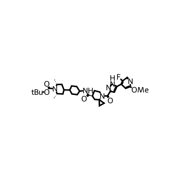 COc1cc(-c2cc(C(=O)N3CC[C@H](C(=O)NC4CCC(C5C[C@@H](C)N(C(=O)OC(C)(C)C)[C@@H](C)C5)CC4)CC34CC4)n[nH]2)c(F)cn1